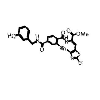 CCc1nc(C(C)C)c(C=C(NC(=O)c2ccc(C(=O)NCc3cccc(O)c3)cc2Cl)C(=O)OC)s1